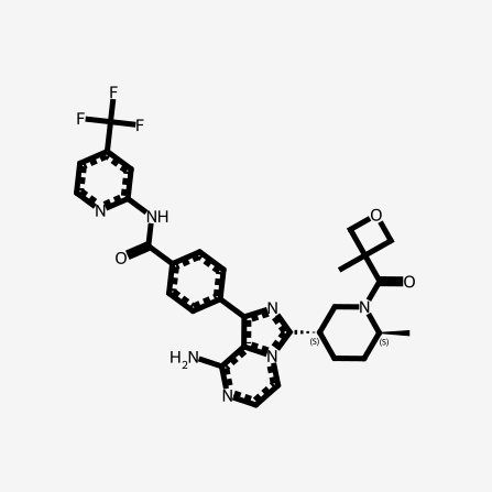 C[C@H]1CC[C@H](c2nc(-c3ccc(C(=O)Nc4cc(C(F)(F)F)ccn4)cc3)c3c(N)nccn23)CN1C(=O)C1(C)COC1